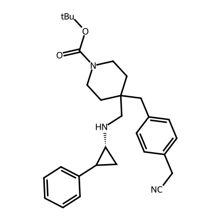 CC(C)(C)OC(=O)N1CCC(CN[C@@H]2CC2c2ccccc2)(Cc2ccc(CC#N)cc2)CC1